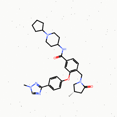 C[C@H]1CC(=O)N(Cc2ccc(C(=O)NC3CCN(C4CCCC4)CC3)cc2Oc2ccc(-c3ncn(C)n3)cc2)C1